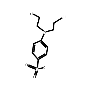 O=S(=O)(Cl)c1ccc(N(CCCl)CCCl)cc1